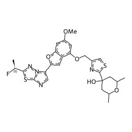 COc1cc(OCc2csc(C3(O)CC(C)OC(C)C3)n2)c2cc(-c3cnc4sc([C@H](C)F)nn34)oc2c1